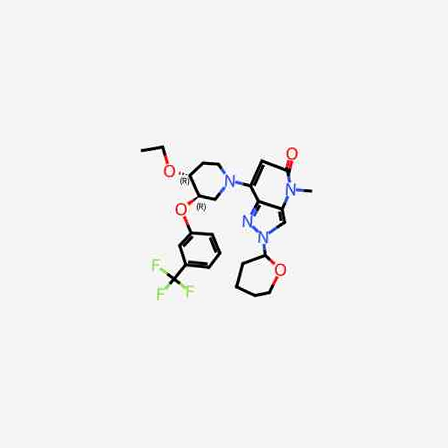 CCO[C@@H]1CCN(c2cc(=O)n(C)c3cn(C4CCCCO4)nc23)C[C@H]1Oc1cccc(C(F)(F)F)c1